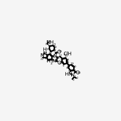 CC(C)n1[nH]c2cc(-c3ccc(C[C@@H](C(N)=O)N(c4ccc5cn[nH]c5c4)C(=O)[C@H]4CC[C@H](CN)CC4)cc3)ccc2c1=O.Cl